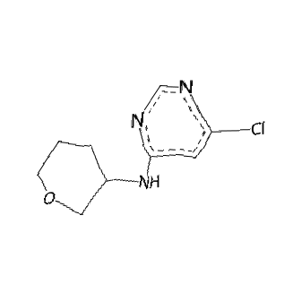 Clc1cc(NC2CCCOC2)ncn1